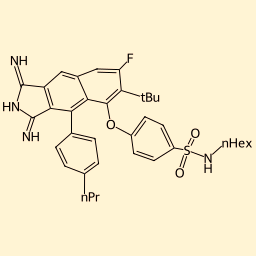 CCCCCCNS(=O)(=O)c1ccc(Oc2c(C(C)(C)C)c(F)cc3cc4c(c(-c5ccc(CCC)cc5)c23)C(=N)NC4=N)cc1